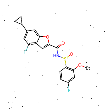 CCOc1cc(F)ccc1[S+]([O-])NC(=O)c1cc2c(F)cc(C3CC3)cc2o1